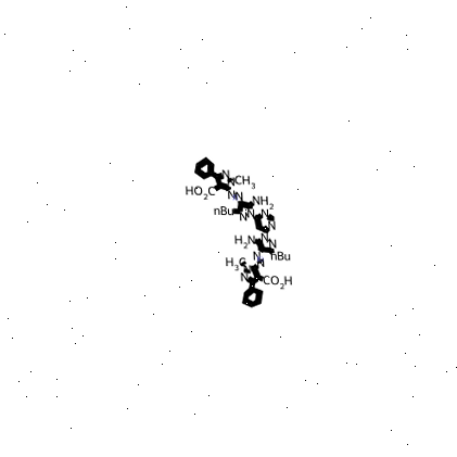 CCCCc1nn(-c2cc(-n3nc(CCCC)c(/N=N/c4c(C(=O)O)c(-c5ccccc5)nn4C)c3N)ncn2)c(N)c1/N=N/c1c(C(=O)O)c(-c2ccccc2)nn1C